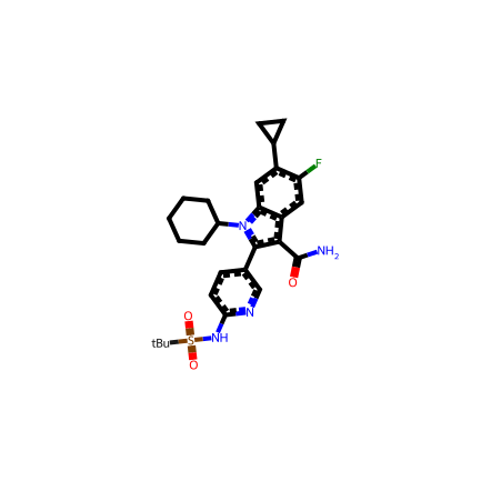 CC(C)(C)S(=O)(=O)Nc1ccc(-c2c(C(N)=O)c3cc(F)c(C4CC4)cc3n2C2CCCCC2)cn1